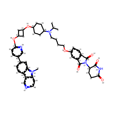 CC(C)N(CCCCOc1ccc2c(c1)C(=O)N(C1CCC(=O)NC1=O)C2=O)C1CCC(OC2CC(Oc3ccc(-c4ccc5c6cnccc6n(C)c5c4)cn3)C2)CC1